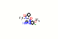 O=C(Nc1ccc(F)c(OC(F)(F)F)c1)[C@@H]1c2ccccc2C(=O)N(CC(F)(F)F)[C@H]1c1cn[nH]c1